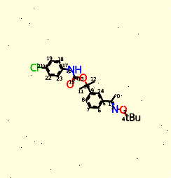 C/C(=N\OC(C)(C)C)c1cccc(C(C)(C)OC(=O)Nc2ccc(Cl)cc2)c1